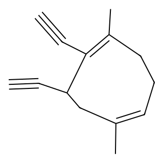 C#CC1=C(C)CCC=C(C)CC1C#C